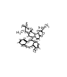 CNC(=O)OC1C(=O)C=CN2C1C(=O)N([C@H](C)C(F)(F)F)CN2[C@@H]1c2ccccc2SCc2c(Cl)cccc21